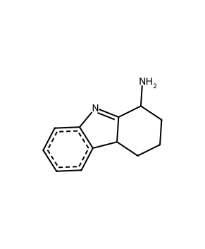 NC1CCCC2C1=Nc1ccccc12